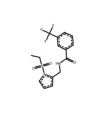 CCS(=O)(=O)n1cccc1CNC(=O)c1cccc(C(F)(F)F)c1